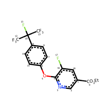 CCOC(=O)c1cnc(Oc2ccc(C(F)(C(F)(F)F)C(F)(F)F)cc2)c(F)c1